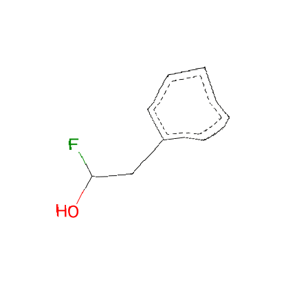 OC(F)Cc1ccccc1